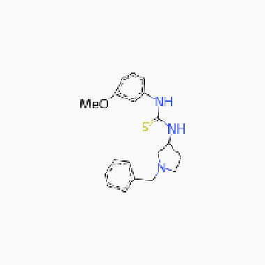 COc1cccc(NC(=S)NC2CCN(Cc3ccccc3)C2)c1